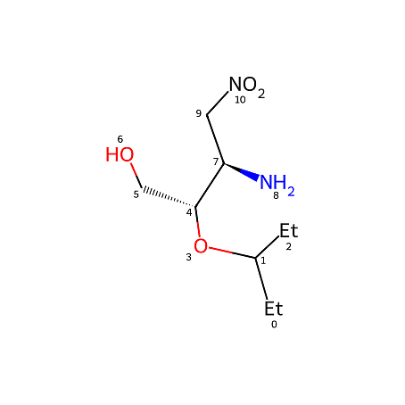 CCC(CC)O[C@H](CO)[C@H](N)C[N+](=O)[O-]